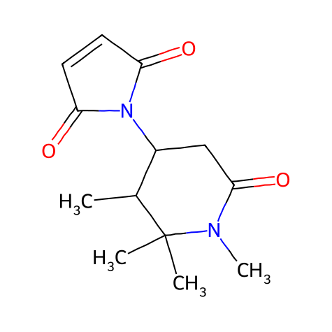 CC1C(N2C(=O)C=CC2=O)CC(=O)N(C)C1(C)C